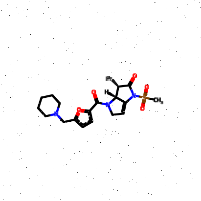 CC(C)[C@H]1C(=O)N(S(C)(=O)=O)C2=CCN(C(=O)c3ccc(CN4CCCCC4)o3)[C@@H]21